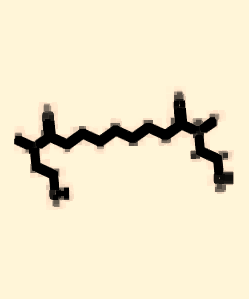 CN(CCO)C(=O)CCCCCCCC(=O)N(C)CCO